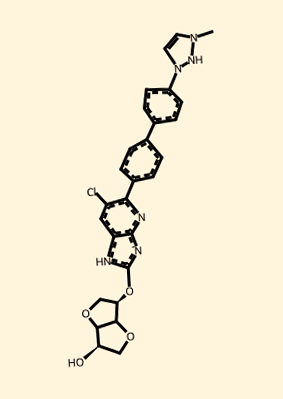 CN1C=CN(c2ccc(-c3ccc(-c4nc5nc(O[C@@H]6COC7C6OC[C@H]7O)[nH]c5cc4Cl)cc3)cc2)N1